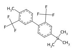 Cc1ccc(-c2ccc([Si](C)(C)C)cc2C(F)(F)F)cc1C(F)(F)F